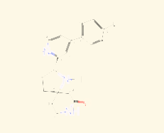 CN1[C@H](c2cc(-c3ccc(C(F)(F)F)cc3)ccn2)CCC12CCNC(=O)C2